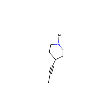 CC#CC1CCN(C(C)=O)CC1